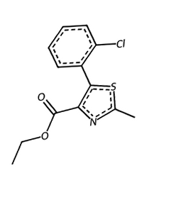 CCOC(=O)c1nc(C)sc1-c1ccccc1Cl